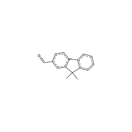 CC1(C)c2ccccc2-[n+]2ccc(C=O)cc21